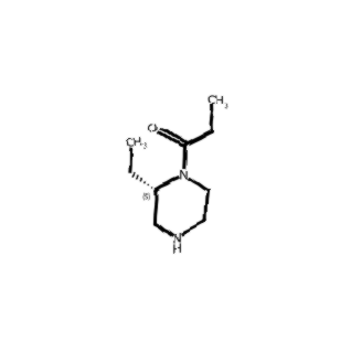 CCC(=O)N1CCNC[C@@H]1CC